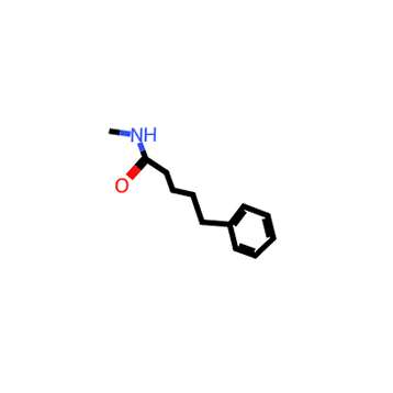 CNC(=O)CCCCc1ccccc1